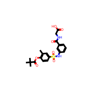 Cc1cc(S(=O)(=O)Nc2cccc(C(=O)NCC(=O)O)c2)ccc1OC(=O)C(C)(C)C